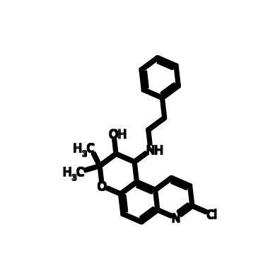 CC1(C)Oc2ccc3nc(Cl)ccc3c2C(NCCc2ccccc2)C1O